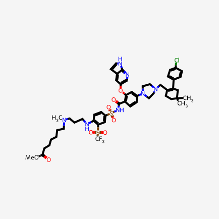 COC(=O)CCCCCCN(C)CCCNc1ccc(S(=O)(=O)NC(=O)c2ccc(N3CCN(CC4=C(c5ccc(Cl)cc5)CC(C)(C)CC4)CC3)cc2Oc2cnc3[nH]ccc3c2)cc1S(=O)(=O)C(F)(F)F